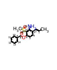 CC=Cc1ccc(OCc2ccccc2)c(S(C)(=O)=O)c1N